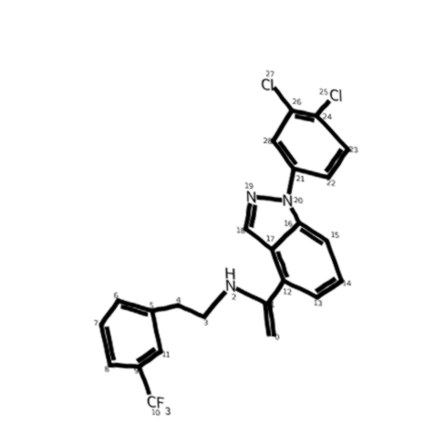 C=C(NCCc1cccc(C(F)(F)F)c1)c1cccc2c1cnn2-c1ccc(Cl)c(Cl)c1